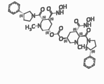 CN1C[C@@H](OC(=O)O[C@H]2C[C@H](C(=O)NO)[C@@H](C(=O)N3CC[C@H](c4ccccc4)C3)N(C)C2)C[C@H](C(=O)NO)[C@H]1C(=O)N1CC[C@H](c2ccccc2)C1